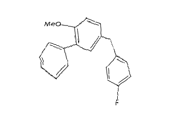 COc1ccc(Cc2ccc(F)cc2)cc1-c1ccccc1